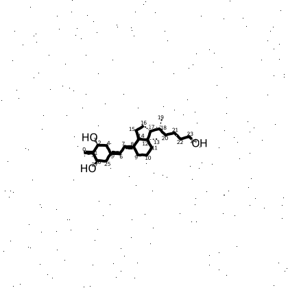 C=C1[C@H](O)CC(=C/C=C2\CCC[C@@]3(C)C2CC[C@@H]3[C@H](C)CCCCO)C[C@H]1O